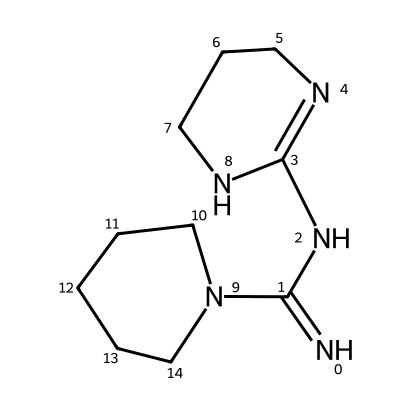 N=C(NC1=NCCCN1)N1CCCCC1